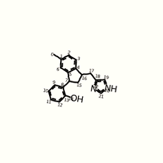 Cc1ccc2c(c1)C(c1ccccc1O)CC2Cc1c[nH]cn1